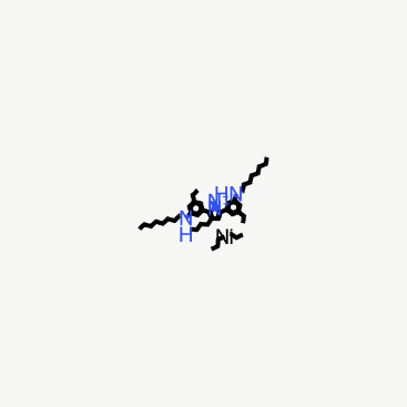 CCCCCCCCNc1cc(CC)cc(C2=CC(CCCC)=C(c3cc(CC)cc(NCCCCCCCC)c3)[N+]2=[N-])c1.CC[CH2][Ni][CH2]CC